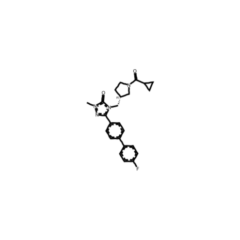 Cn1nc(-c2ccc(-c3ccc(F)cc3)cc2)n(C[C@@H]2CCN(C(=O)C3CC3)C2)c1=O